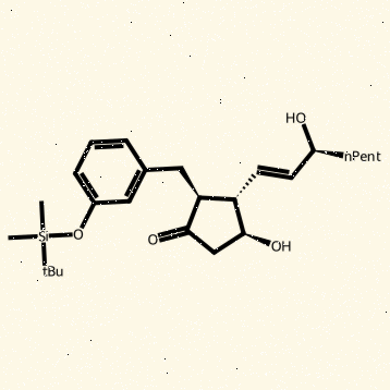 CCCCC[C@H](O)C=C[C@H]1[C@H](Cc2cccc(O[Si](C)(C)C(C)(C)C)c2)C(=O)C[C@@H]1O